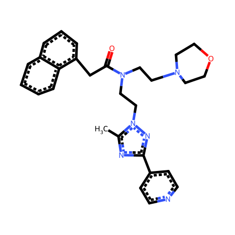 Cc1nc(-c2ccncc2)nn1CCN(CCN1CCOCC1)C(=O)Cc1cccc2ccccc12